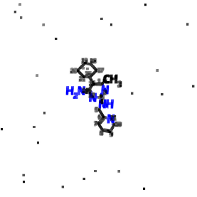 Cc1nc(NCc2ccccn2)nc(N)c1C1CCCCC1